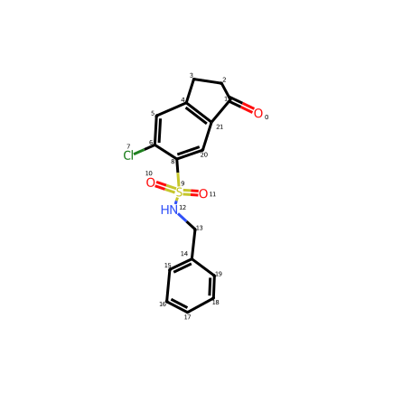 O=C1CCc2cc(Cl)c(S(=O)(=O)NCc3ccccc3)cc21